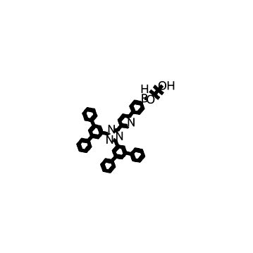 CC(C)(O)C(C)(C)OBc1ccc(-c2ccc(-c3nc(-c4cc(-c5ccccc5)cc(-c5ccccc5)c4)nc(-c4cc(-c5ccccc5)cc(-c5ccccc5)c4)n3)cn2)cc1